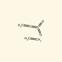 C=C.C=C=S(=O)=O